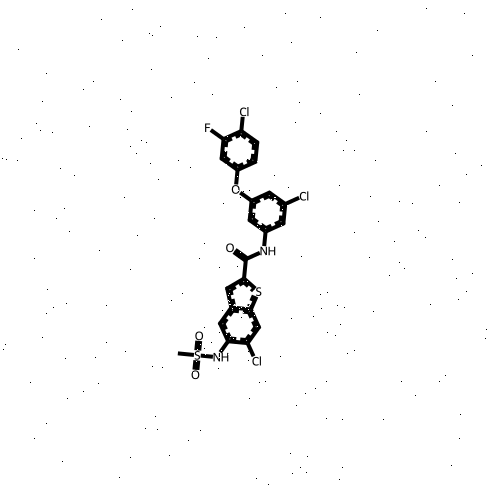 CS(=O)(=O)Nc1cc2cc(C(=O)Nc3cc(Cl)cc(Oc4ccc(Cl)c(F)c4)c3)sc2cc1Cl